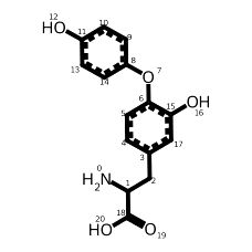 NC(Cc1ccc(Oc2ccc(O)cc2)c(O)c1)C(=O)O